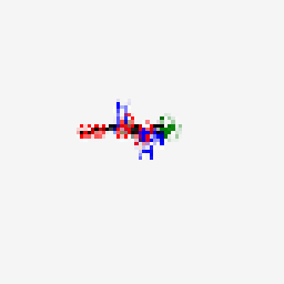 COCCOCCCCNS(=O)(=O)c1ccc(S(=O)(=O)Nc2ccc(Cl)c3c(Cl)c[nH]c23)cc1